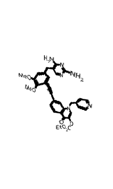 CCOC(=O)Oc1cn(Cc2ccncc2)c2cc(C#Cc3cc(Cc4cnc(N)nc4N)cc(OC)c3OC)ccc2c1=O